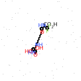 O=C(O)NC(c1cc(F)cc(F)c1)c1cccc(OCCCCCCCCCNC[C@H](O)c2ccc(O)c3[nH]c(=O)ccc23)c1